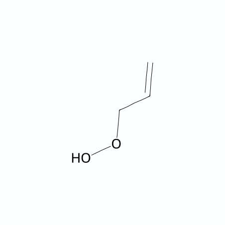 C=CCOO